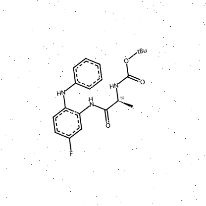 C[C@H](NC(=O)OC(C)(C)C)C(=O)Nc1cc(F)ccc1Nc1ccccc1